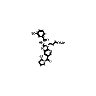 CC[C@@H]1CCCN1C(=O)c1cnc2c(c1)nc(NC(=O)c1cccc(C#N)c1)n2CCCOC